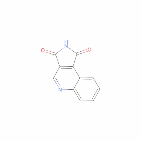 O=C1NC(=O)c2c1cnc1ccccc21